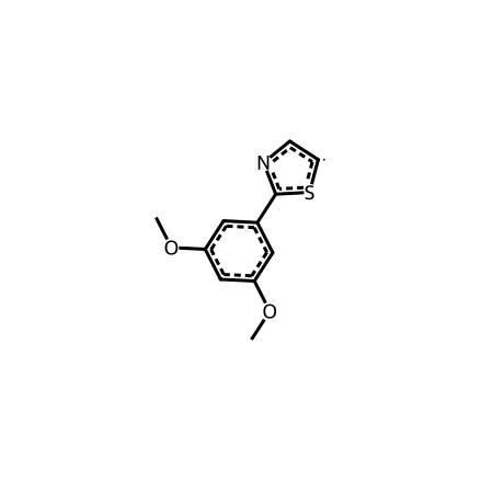 COc1cc(OC)cc(-c2nc[c]s2)c1